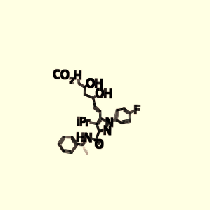 CC(C)c1c(C(=O)N[C@H](C)c2ccccc2)nn(-c2ccc(F)cc2)c1/C=C/C(O)CC(O)CC(=O)O